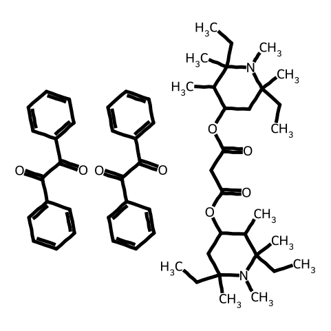 CCC1(C)CC(OC(=O)CC(=O)OC2CC(C)(CC)N(C)C(C)(CC)C2C)C(C)C(C)(CC)N1C.O=C(C(=O)c1ccccc1)c1ccccc1.O=C(C(=O)c1ccccc1)c1ccccc1